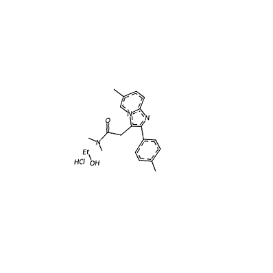 CCO.Cc1ccc(-c2nc3ccc(C)cn3c2CC(=O)N(C)C)cc1.Cl